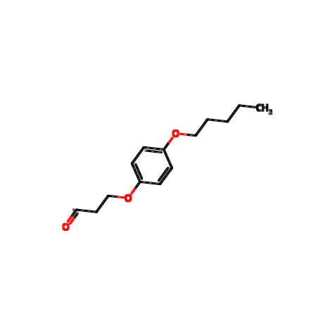 CCCCCOc1ccc(OCC[C]=O)cc1